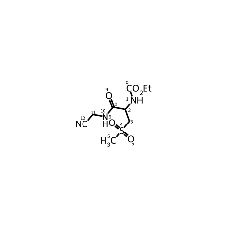 CCOC(=O)NC(CS(C)(=O)=O)C(=O)NCC#N